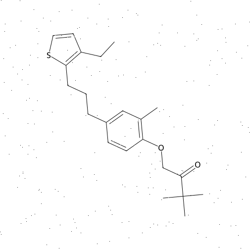 CCc1ccsc1CCCc1ccc(OCC(=O)C(C)(C)C)c(C)c1